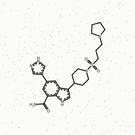 NC(=O)c1cc(-c2cn[nH]c2)cc2c(C3CCN(S(=O)(=O)CCCN4CCCC4)CC3)c[nH]c12